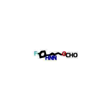 O=COCCc1cc(-c2ccc(F)cc2)[nH]n1